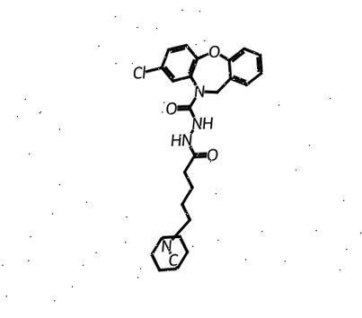 O=C(CCCCN1CC2CCC1CC2)NNC(=O)N1Cc2ccccc2Oc2ccc(Cl)cc21